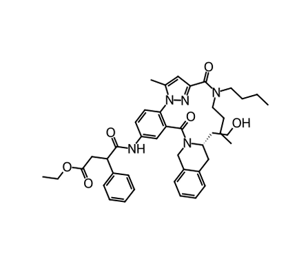 CCCCN(CCCC)C(=O)c1cc(C)n(-c2ccc(NC(=O)C(CC(=O)OCC)c3ccccc3)cc2C(=O)N2Cc3ccccc3C[C@H]2CCO)n1